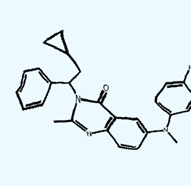 Cc1nc2ccc(N(C)c3ccc(F)cc3)cc2c(=O)n1C(CC1CC1)c1ccccc1